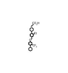 CCc1cc(COc2ccc(C3CCCCC3)c(C(F)(F)F)c2)ccc1C1CCN(CCC(=O)O)CC1